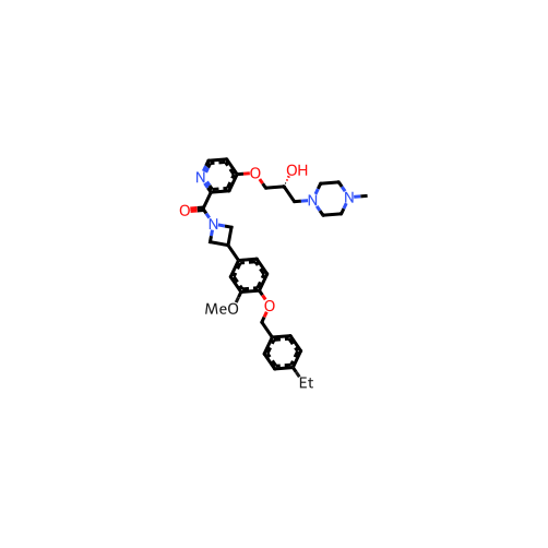 CCc1ccc(COc2ccc(C3CN(C(=O)c4cc(OC[C@H](O)CN5CCN(C)CC5)ccn4)C3)cc2OC)cc1